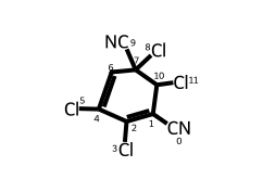 N#CC1=C(Cl)C(Cl)=CC(Cl)(C#N)C1Cl